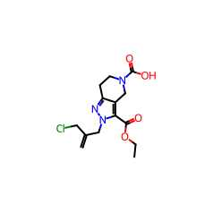 C=C(CCl)Cn1nc2c(c1C(=O)OCC)CN(C(=O)O)CC2